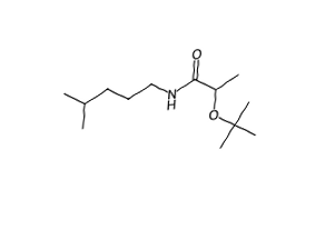 CC(C)CCCNC(=O)C(C)OC(C)(C)C